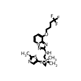 C=S1(C)(CNc2nc3c(OCCCC(F)(F)F)cccn3n2)CN1c1cnc(C)s1